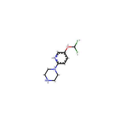 FC(F)Oc1ccc(N2CCNCC2)nc1